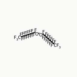 FC(OCOC(F)C(F)(F)C(F)(F)C(F)(F)C(F)(F)C(F)(F)C(F)(F)C(F)(F)F)C(F)(F)C(F)(F)C(F)(F)C(F)(F)C(F)(F)C(F)(F)C(F)(F)F